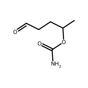 CC(CCC=O)OC(N)=O